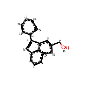 OCc1cc2c3c(cccc3c1)C=C2c1ccccc1